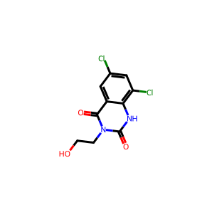 O=c1[nH]c2c(Cl)cc(Cl)cc2c(=O)n1CCO